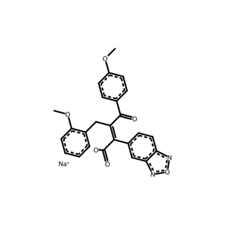 COc1ccc(C(=O)/C(Cc2ccccc2OC)=C(/C(=O)[O-])c2ccc3nonc3c2)cc1.[Na+]